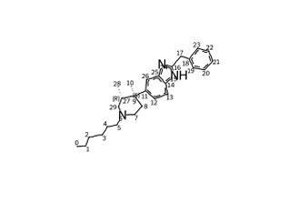 CCCCCCN1CC[C@](C)(c2ccc3[nH]c(Cc4ccccc4)nc3c2)[C@@H](C)C1